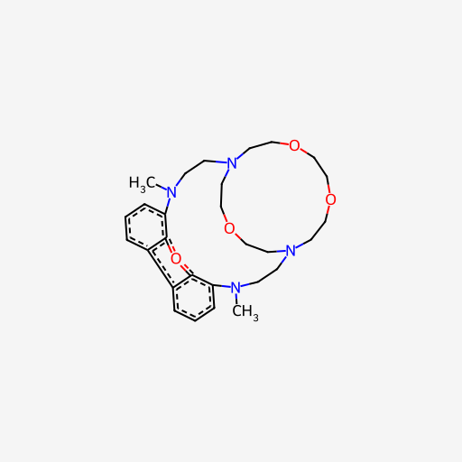 CN1CCN2CCOCCOCCN(CCOCC2)CCN(C)c2cccc3c2oc2c1cccc23